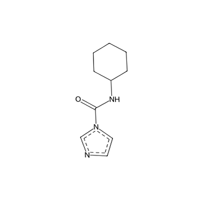 O=C(NC1CCCCC1)n1ccnc1